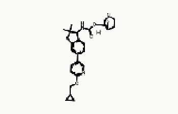 CC1(C)Cc2cc(-c3ccc(OCC4CC4)nc3)ccc2C1NC(=O)O[C@H]1CN2CCC1CC2